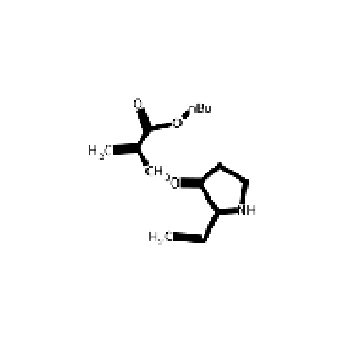 C=C(C)C(=O)OCCCC.C=CC1NCCC1=O